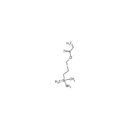 C=CC(=O)OCCC[Si](C)(C)N